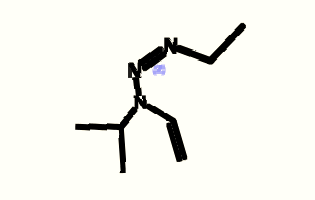 C=CN(/N=N\CC)C(C)C